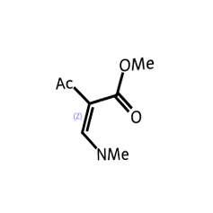 CN/C=C(/C(C)=O)C(=O)OC